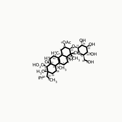 CC(=O)O[C@@H]1C[C@]2(C)C3=C(CC[C@H]2C(C)(C)[C@@H]1O[C@@H]1O[C@H](CO)[C@@H](O)[C@H](O)[C@H]1O)[C@@]1(C)CC[C@](C)([C@H](C)C(C)C)[C@@H](C(=O)O)[C@]1(C)CC3